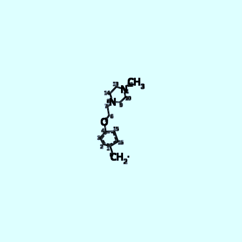 [CH2]c1ccc(OCCN2CCN(C)CC2)cc1